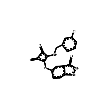 O=c1c(NCc2cccc(Cl)c2)c(Nc2ccc3[nH][nH]c(=O)c3c2)c1=O